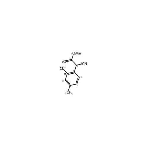 COC(=O)C(C#N)c1ncc(C(F)(F)F)cc1Cl